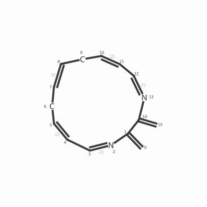 C=C1/N=C\C=C/C/C=C\C/C=C\C=N/C1=C